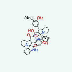 COc1ccc(C2C3CCCCN3C3(C(=O)Nc4ccccc43)C2/C(O)=C/C(=O)C2C3CCCCN3C3(C(=O)Nc4ccccc43)C2c2ccc(O)c(OC)c2)cc1O